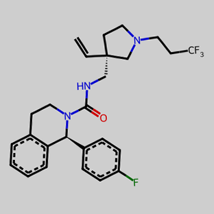 C=C[C@@]1(CNC(=O)N2CCc3ccccc3[C@@H]2c2ccc(F)cc2)CCN(CCC(F)(F)F)C1